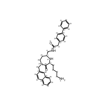 NCCCC[C@@H]1N[C@H](CNC(=O)Cc2ccc(-c3ccccc3)cc2)CCN(Cc2ccc3ccccc3c2)C1=O